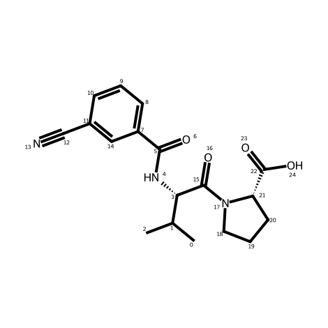 CC(C)[C@H](NC(=O)c1cccc(C#N)c1)C(=O)N1CCC[C@H]1C(=O)O